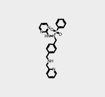 O=S(=O)(c1ccccc1)N(Cc1ccc(CNCc2ccccn2)cc1)Nc1ncccn1